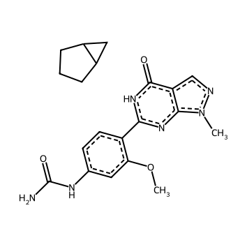 C1CC2CC2C1.COc1cc(NC(N)=O)ccc1-c1nc2c(cnn2C)c(=O)[nH]1